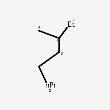 C[CH]CCCC(C)CC